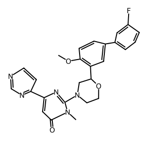 COc1ccc(-c2cccc(F)c2)cc1C1CN(c2nc(-c3ccncn3)cc(=O)n2C)CCO1